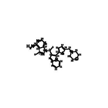 Cc1nn(C(C)c2cc3ccccn3c2-c2ccc(CN3CCOCC3)s2)c2ncnc(N)c12